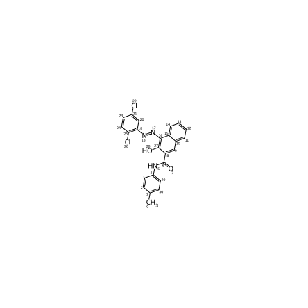 Cc1ccc(NC(=O)c2cc3ccccc3c(N=Nc3cc(Cl)ccc3Cl)c2O)cc1